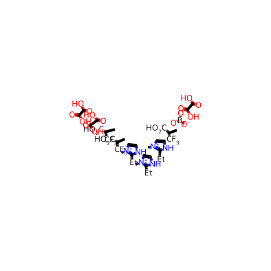 CC(C(=O)O)C(F)(F)F.CC(C(=O)O)C(F)(F)F.CC(C(=O)O)C(F)(F)F.CCc1[nH]cc[n+]1C.CCc1[nH]cc[n+]1C.CCc1[nH]cc[n+]1C.O=C(O)C(=O)O.O=C(O)C(=O)O.O=C(O)C(=O)O.[O-]B([O-])[O-]